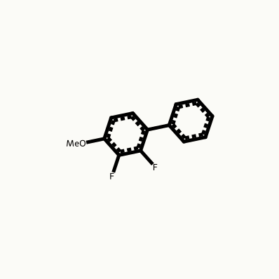 COc1ccc(-c2ccccc2)c(F)c1F